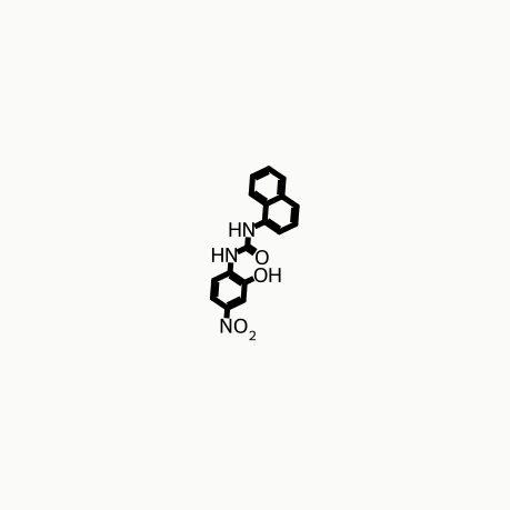 O=C(Nc1ccc([N+](=O)[O-])cc1O)Nc1cccc2ccccc12